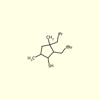 CC(C)CC1(C)CC(C)C(S)C1CC(C)(C)C